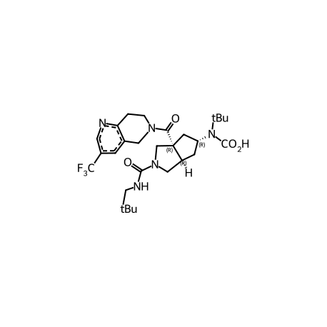 CC(C)(C)CNC(=O)N1C[C@@H]2C[C@@H](N(C(=O)O)C(C)(C)C)C[C@]2(C(=O)N2CCc3ncc(C(F)(F)F)cc3C2)C1